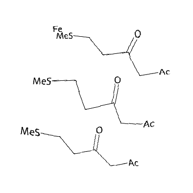 CSCCC(=O)CC(C)=O.CSCCC(=O)CC(C)=O.CSCCC(=O)CC(C)=O.[Fe]